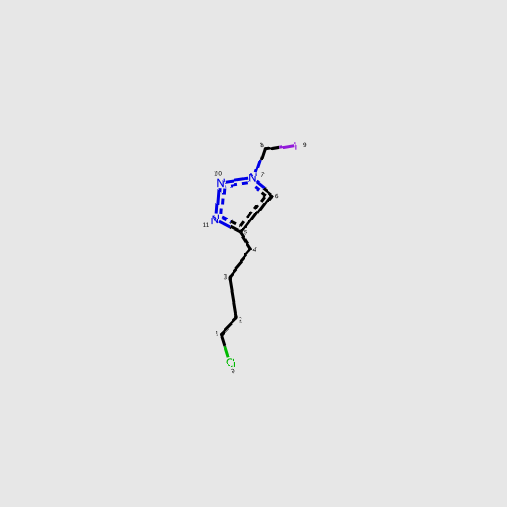 ClCCCCc1cn(CI)nn1